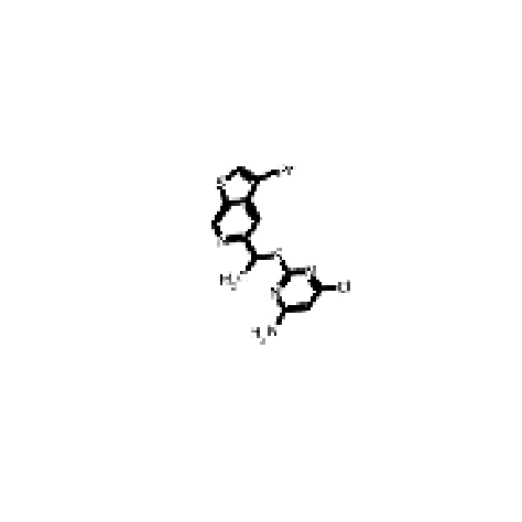 CC(C)c1csc2cnc(C(C)Sc3nc(N)cc(Cl)n3)cc12